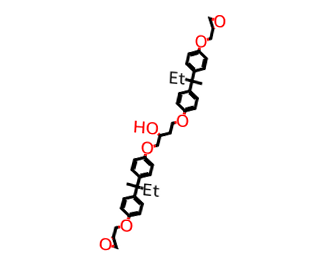 CCC(C)(c1ccc(OCCC(O)COc2ccc(C(C)(CC)c3ccc(OCC4CO4)cc3)cc2)cc1)c1ccc(OCC2CO2)cc1